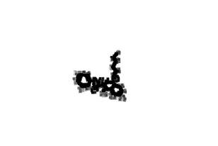 CCCCCCOc1cc(C(=O)Nc2ccccc2)c(C)c2ccccc12